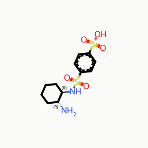 N[C@@H]1CCCC[C@H]1NS(=O)(=O)c1ccc(S(=O)(=O)O)cc1